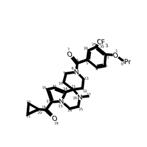 CC(C)Oc1ccc(C(=O)N2CCC3(CC2)c2ccc(C(=O)C4CC4)n2CCN3C)cc1C(F)(F)F